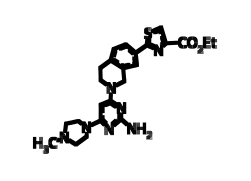 CCOC(=O)c1csc(-c2ccc3c(c2)CN(c2cc(N4CCN(C)CC4)nc(N)n2)CC3)n1